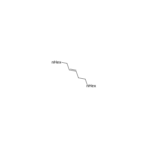 CCCCCCCC=CCCCCCCCC